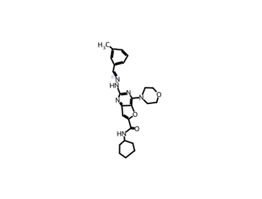 Cc1cccc(/C=N/Nc2nc(N3CCOCC3)c3oc(C(=O)NC4CCCCC4)cc3n2)c1